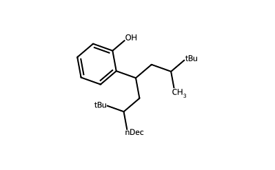 CCCCCCCCCCC(CC(CC(C)C(C)(C)C)c1ccccc1O)C(C)(C)C